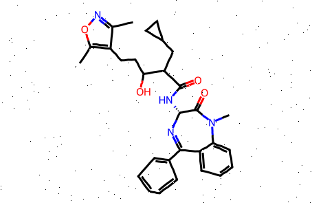 Cc1noc(C)c1CCC(O)C(CC1CC1)C(=O)N[C@H]1N=C(c2ccccc2)c2ccccc2N(C)C1=O